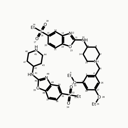 CCOc1cc(CN2CCC(Nc3nc4cc(S(=O)(=O)CC)ccc4o3)CC2)cc(OCC)c1.CCS(=O)(=O)c1ccc2oc(NC3CCNCC3)nc2c1